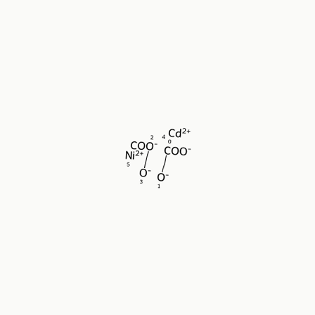 O=C([O-])[O-].O=C([O-])[O-].[Cd+2].[Ni+2]